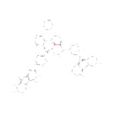 c1ccc(-c2ccccc2-c2ccccc2N(c2ccc(-c3cccc(-n4c5ccccc5c5ccccc54)c3)cc2)c2ccc(-c3ccc4c(c3)oc3ccccc34)cc2)cc1